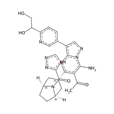 CC(=O)c1c([C@@H]2C[C@H]3CC[C@@H](C2)N3C(=O)c2nnc[nH]2)nc2c(-c3ccc(C(O)CO)nc3)cnn2c1N